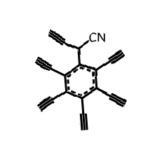 C#Cc1c(C#C)c(C#C)c(C(C#C)C#N)c(C#C)c1C#C